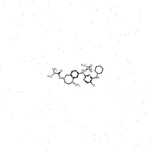 CN(C)C(=O)ON1CCN(C)c2cc(Nc3ncc(Cl)c(N[C@@H]4CCCC[C@H]4NS(C)(=O)=O)n3)ccc2C1